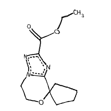 CCOC(=O)c1nc2n(n1)CCOC21CCCC1